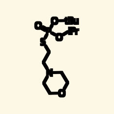 CC(C)OP(=O)(OC(C)(C)C)SCCN1CCOCC1